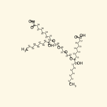 CCCCCCCCC(O)C(CCCCCCCC(=O)O)OCCOCCOCCOC(CCCCCCCC(=O)N=O)C(O)CCCCCCCC